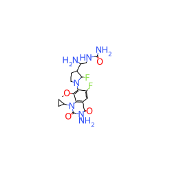 COc1c(N2CCC(C(N)CNC(N)=O)C2F)c(F)cc2c(=O)n(N)c(=O)n(C3CC3)c12